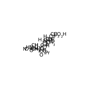 CC(C)C1=C2[C@H]3CC[C@@H]4[C@@]5(C)CC[C@H](OC(=O)[C@H]6C[C@@H](C(=O)O)C6(C)C)C(C)(C)[C@@H]5CC[C@@]4(C)[C@]3(C)CC[C@@]2(CCNCC(C)(C)NC(=O)c2ccncc2)CC1=O